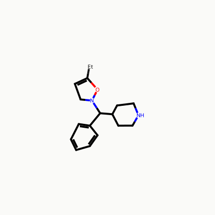 CCC1=CCN(C(c2ccccc2)C2CCNCC2)O1